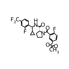 CS(=O)(=O)c1ccc(F)c(C(=O)N2CCC[C@@H]2C(=O)NC(c2ccc(C(F)(F)F)cc2F)C2CC2)c1